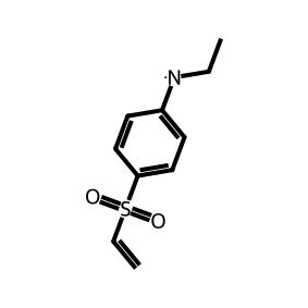 C=CS(=O)(=O)c1ccc([N]CC)cc1